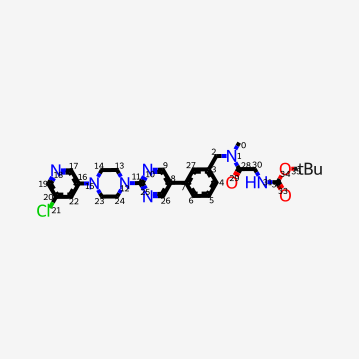 CN(Cc1cccc(-c2cnc(N3CCN(c4cncc(Cl)c4)CC3)nc2)c1)C(=O)CNC(=O)OC(C)(C)C